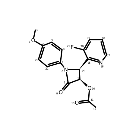 COc1ccc(N2C(=O)[C@H](OC(C)=O)[C@@H]2c2ncccc2F)cc1